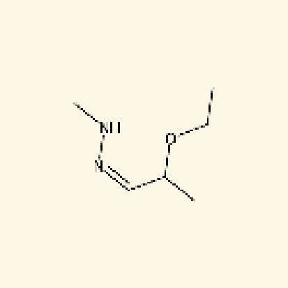 CCOC(C)/C=N\NC